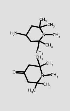 CN1C(C)(C)CC(=O)CC1(C)C.CN1C(C)(C)CC(N)CC1(C)C